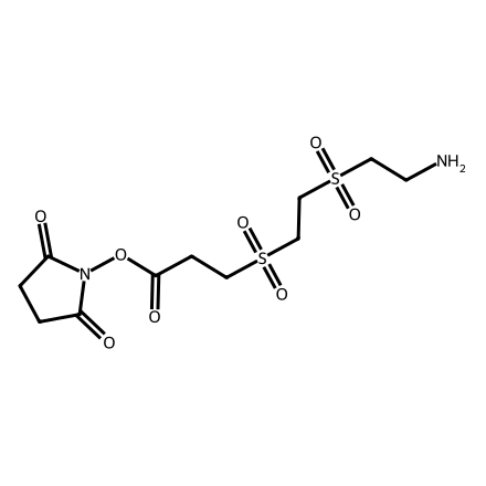 NCCS(=O)(=O)CCS(=O)(=O)CCC(=O)ON1C(=O)CCC1=O